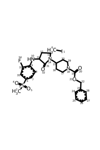 CI.CS(=O)(=O)c1ccc(NC2CCN(C3CCN(C(=O)OCc4ccccc4)CC3)C2=O)c(F)c1